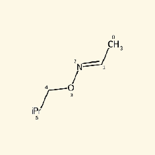 CC=NOCC(C)C